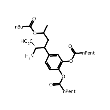 CCCCCC(=O)Oc1ccc(C(CC(C)OC(=O)CCCC)[C@H](N)C(=O)O)cc1OC(=O)CCCCC